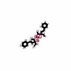 CCC(/C=C/c1ccccc1)(CC)O[PH](=O)OC(/C=C/c1ccccc1)(CC)CC